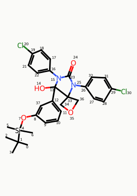 CC(C)(C)[Si](C)(C)Oc1cccc(C2(O)N(c3ccc(Cl)cc3)C(=O)N(c3ccc(Cl)cc3)C23COC3)c1